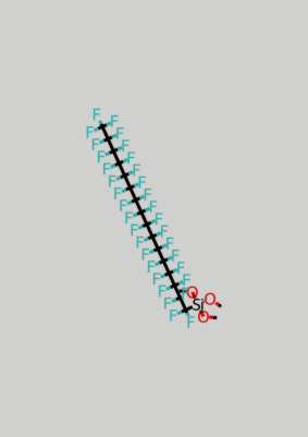 CO[Si](OC)(OC)C(F)(F)C(F)(F)C(F)(F)C(F)(F)C(F)(F)C(F)(F)C(F)(F)C(F)(F)C(F)(F)C(F)(F)C(F)(F)C(F)(F)C(F)(F)C(F)(F)C(F)(F)C(F)(F)F